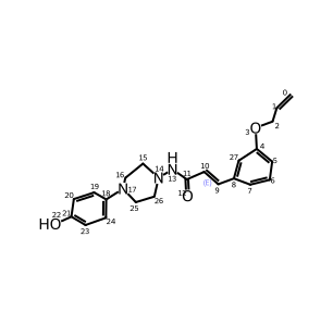 C=CCOc1cccc(/C=C/C(=O)NN2CCN(c3ccc(O)cc3)CC2)c1